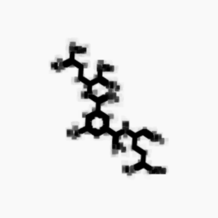 C=CC(CCC(=C)NC)NC(=C)c1cc(C)cc(C(=C)NC(CCC(=C)NC)C(=C)NC)c1